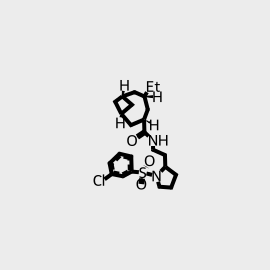 CC[C@@H]1C[C@@H](C(=O)NCCC2CCCN2S(=O)(=O)c2cccc(Cl)c2)C[C@H]2C[C@@H](C1)C2